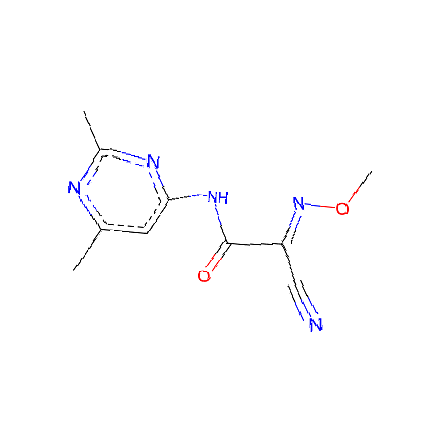 CON=C(C#N)C(=O)Nc1cc(C)nc(C)n1